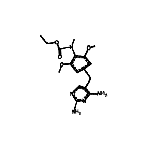 CCOC(=O)N(C)c1c(OC)cc(Cc2cnc(N)nc2N)cc1OC